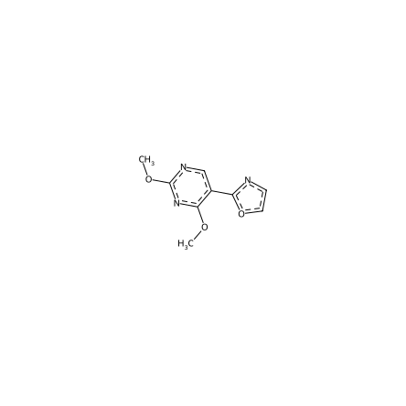 COc1ncc(-c2ncco2)c(OC)n1